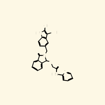 Cc1[nH]c2ccc(CN3C(=O)c4ccccc4C3SCC(=O)Nc3ccccn3)cc2c1C